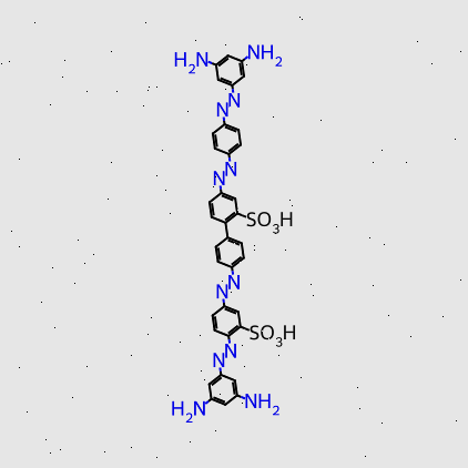 Nc1cc(N)cc(N=Nc2ccc(N=Nc3ccc(-c4ccc(N=Nc5ccc(N=Nc6cc(N)cc(N)c6)c(S(=O)(=O)O)c5)cc4)c(S(=O)(=O)O)c3)cc2)c1